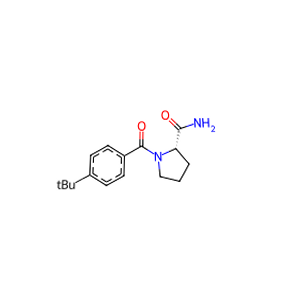 CC(C)(C)c1ccc(C(=O)N2CCC[C@H]2C(N)=O)cc1